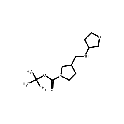 CC(C)(C)OC(=O)N1CCC(CNC2CCOC2)C1